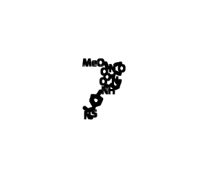 COCC(=O)N1CCOC[C@H]1C(=O)N1CCC[C@H]1C(=O)NCc1ccc(-c2scnc2C)cc1